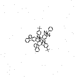 Cn1c(-c2ccccc2)nc2cc3c(cc21)-n1c2ccc(C(C)(C)C)cc2c2c4c(oc5ccccc54)c4c(c21)B3N(c1ccc(C(C)(C)C)cc1)c1cc2oc3ccccc3c2cc1-4